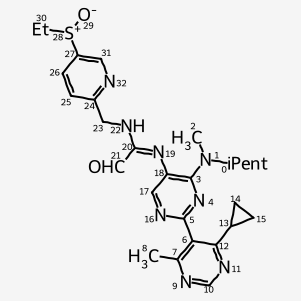 CCCC(C)N(C)c1nc(-c2c(C)ncnc2C2CC2)ncc1/N=C(\C=O)NCc1ccc([S+]([O-])CC)cn1